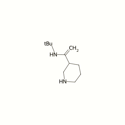 C=C(NC(C)(C)C)C1CCCNC1